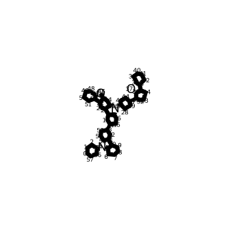 c1ccc(-n2c3ccccc3c3cc(-c4ccc5c(c4)c4cc6c(cc4n5-c4ccc(-c5cccc7c5oc5ccccc57)cc4)oc4ccccc46)ccc32)cc1